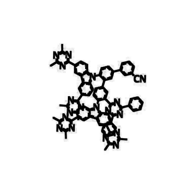 Cc1nc(C)nc(-c2ccc3c(c2)c2cc(-c4nc(C)nc(C)n4)ccc2n3-c2ccc(-c3cccc(C#N)c3)cc2-c2ccc(-n3c4ccc(-c5nc(C)nc(C)n5)cc4c4cc(-c5nc(C)nc(C)n5)ccc43)c(-c3nc(-c4ccccc4)nc(-c4ccccc4)n3)c2)n1